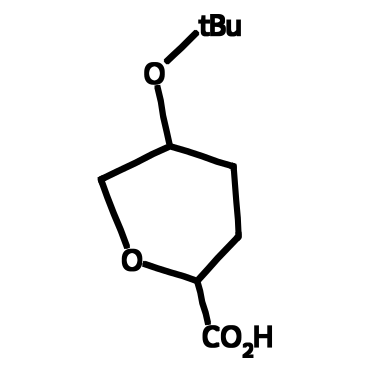 CC(C)(C)OC1CCC(C(=O)O)OC1